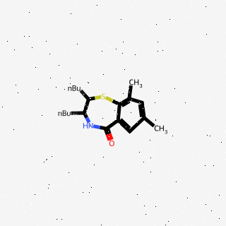 CCCCC1NC(=O)c2cc(C)cc(C)c2SC1CCCC